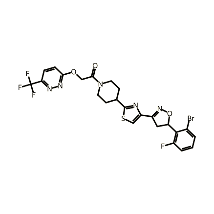 O=C(COc1ccc(C(F)(F)F)nn1)N1CCC(c2nc(C3=NOC(c4c(F)cccc4Br)C3)cs2)CC1